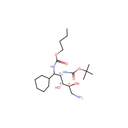 CCCCOC(=O)NC(C1CCCCC1)[C@H](NC(=O)OC(C)(C)C)[C@@H](O)[C@@H](O)CN